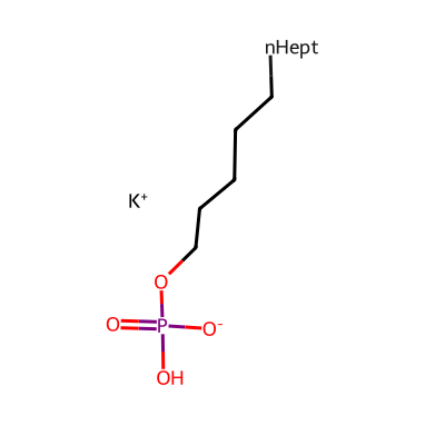 CCCCCCCCCCCCOP(=O)([O-])O.[K+]